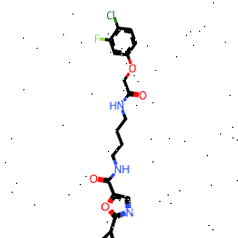 O=C(COc1ccc(Cl)c(F)c1)NCCCCNC(=O)c1cnc(C2CC2)o1